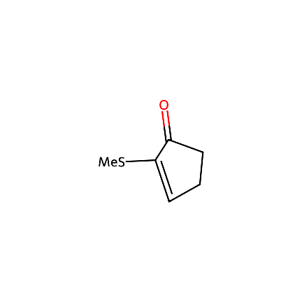 CSC1=CCCC1=O